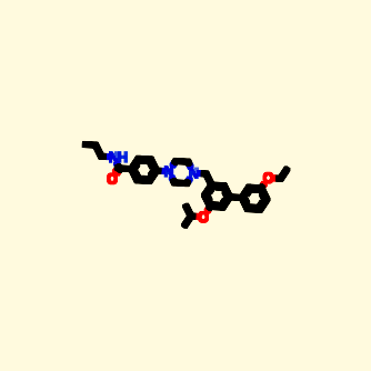 CCCNC(=O)c1ccc(N2CCN(Cc3cc(OC(C)C)cc(-c4cccc(OCC)c4)c3)CC2)cc1